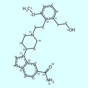 COc1cccc(CCO)c1CCN1CCC(n2ccc3ccc(C(N)=O)cc32)CC1